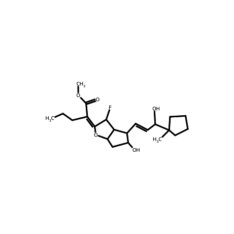 CCC/C(C(=O)OC)=C1\OC2CC(O)C(/C=C/C(O)C3(C)CCCC3)C2C1F